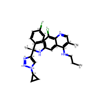 [2H][C@](Nc1cc(Cl)c2ncc(C#N)c(NCCC(C)C)c2c1)(c1ccc(F)cc1)c1cn(C2CC2)nn1